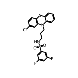 O=S(=O)(NCCCN1c2ccccc2Sc2ccc(Cl)cc21)c1cc(F)cc(F)c1